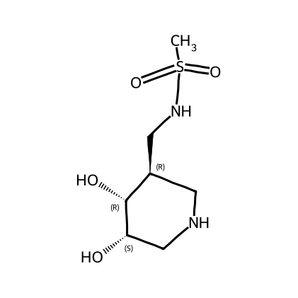 CS(=O)(=O)NC[C@H]1CNC[C@H](O)[C@@H]1O